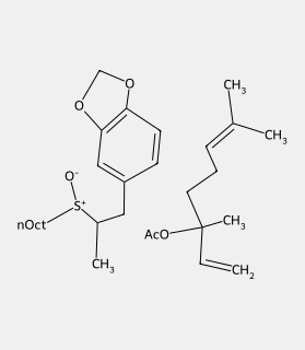 C=CC(C)(CCC=C(C)C)OC(C)=O.CCCCCCCC[S+]([O-])C(C)Cc1ccc2c(c1)OCO2